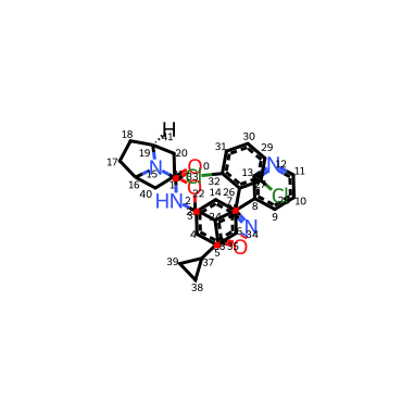 O=C(Nc1cccc(-c2cccnc2)c1)N1C2CC[C@H]1CC(OCc1c(-c3c(Cl)cccc3Cl)noc1C1CC1)C2